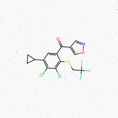 O=C(c1cnoc1)c1cc(C2CC2)c(Cl)c(Cl)c1SCC(F)(F)F